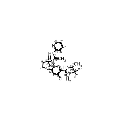 C=C(N[C@H](C)C(F)(F)F)c1nc2c(cc1Cl)N1CC[C@@H](C1)N2C(=C)Nc1ccccn1